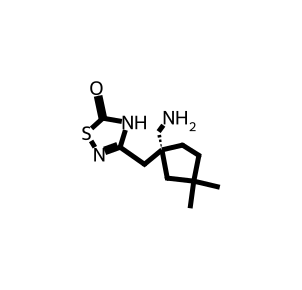 CC1(C)CC[C@](CN)(Cc2nsc(=O)[nH]2)C1